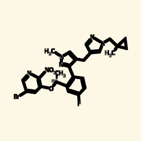 C[C@@H](Oc1cc(Br)cnc1[N+](=O)[O-])c1cc(F)ccc1-c1nn(C)cc1Cc1cnn(CC2(C)CC2)c1